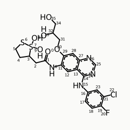 O=C(CC1CCSS1(O)O)Nc1cc2c(Nc3ccc(F)c(Cl)c3)ncnc2cc1OCC(O)CO